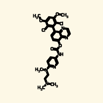 COc1cc(OC)c(Cl)c(-c2ccc(OC(=O)Nc3ccc(N(C)CCN(C)C)nc3)c3nccnc23)c1Cl